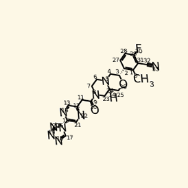 Cc1c([C@H]2CN3CCN(C(=O)Cc4cnc(-n5cnnn5)cn4)C[C@H]3CO2)ccc(F)c1C#N